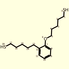 SCCCCCOc1ccccc1CCCCCS